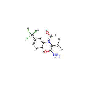 CC(=O)N(c1cccc(C(F)(F)F)c1)C(C(N)=O)C(C)C